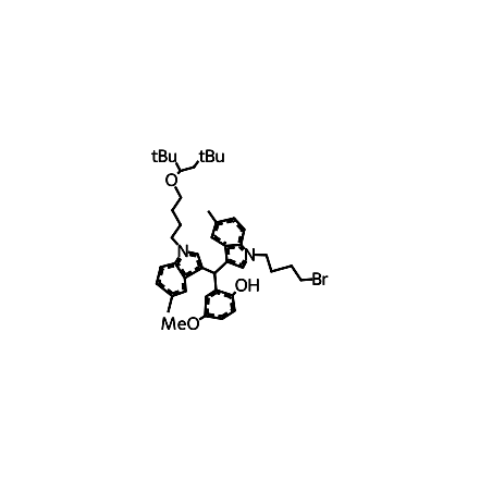 COc1ccc(O)c(C(c2cn(CCCCBr)c3ccc(C)cc23)c2cn(CCCCOC(CC(C)(C)C)C(C)(C)C)c3ccc(C)cc23)c1